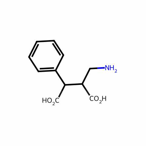 NCC(C(=O)O)C(C(=O)O)c1ccccc1